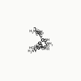 CC(C)C[C@H](N)C(=O)O.CC(C)[C@H](N)C(=O)O.CC[C@H](C)[C@H](N)C(=O)O.N[C@@H](Cc1c[nH]c2ccccc12)C(=O)O.N[C@@H](Cc1ccccc1)C(=O)O.O=C(O)[C@@H]1CCCN1